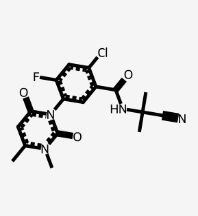 Cc1cc(=O)n(-c2cc(C(=O)NC(C)(C)C#N)c(Cl)cc2F)c(=O)n1C